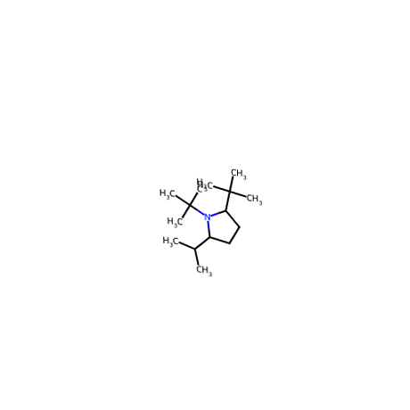 CC(C)C1CCC(C(C)(C)C)N1C(C)(C)C